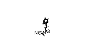 N#CC1CN1C(=O)/C=C/C1CC2C=CC1C2